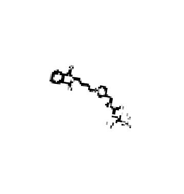 CC(C)(C)OC(=O)NCC1CCN(CCCCN2C(=O)c3ccccc3C2=O)C1